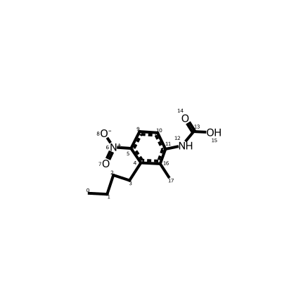 CCCCc1c([N+](=O)[O-])ccc(NC(=O)O)c1C